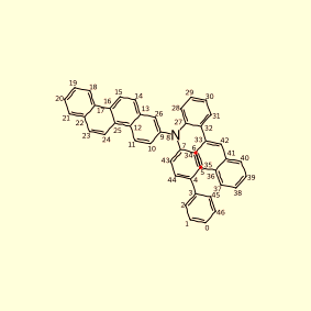 c1ccc(-c2ccc(N(c3ccc4c(ccc5c6ccccc6ccc45)c3)c3ccccc3-c3ccc4ccccc4c3)cc2)cc1